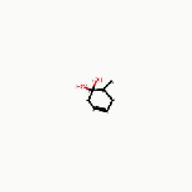 CC1CC=CCC1(O)O